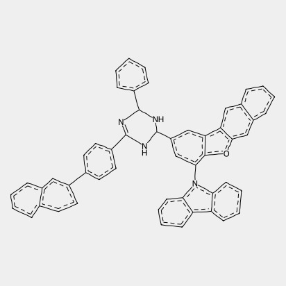 c1ccc(C2N=C(c3ccc(-c4ccc5ccccc5c4)cc3)NC(c3cc(-n4c5ccccc5c5ccccc54)c4oc5cc6ccccc6cc5c4c3)N2)cc1